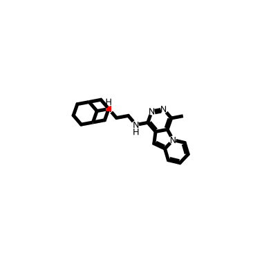 Cc1nnc(NCCNC2C3CCCC2CCC3)c2cc3ccccn3c12